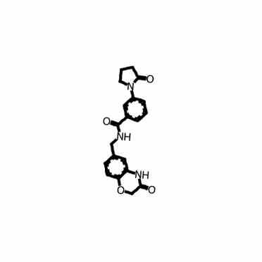 O=C1COc2ccc(CNC(=O)c3cccc(N4CCCC4=O)c3)cc2N1